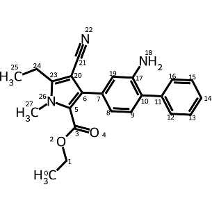 CCOC(=O)c1c(-c2ccc(-c3ccccc3)c(N)c2)c(C#N)c(CC)n1C